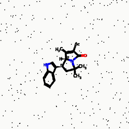 CC(=O)C1=C(C)[C@@H]2[C@@H](c3c[nH]c4ccccc34)CC(C)(C)N2C1=O